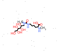 CNC(CCCCNC(=O)N(C)CC(O)C(O)C(O)C(O)CO)C(=O)O